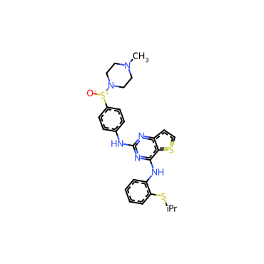 CC(C)Sc1ccccc1Nc1nc(Nc2ccc([S+]([O-])N3CCN(C)CC3)cc2)nc2ccsc12